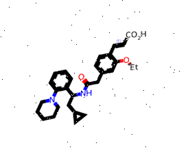 CCOc1cc(CC(=O)NC(CC2CC2)c2ccccc2N2CCCCC2)ccc1/C=C/C(=O)O